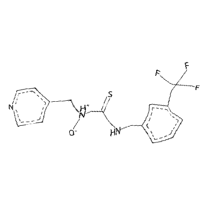 [O-][NH+](Cc1ccncc1)C(=S)Nc1cccc(C(F)(F)F)c1